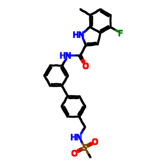 Cc1ccc(F)c2cc(C(=O)Nc3cccc(-c4ccc(CNS(C)(=O)=O)cc4)c3)[nH]c12